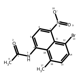 CC(=O)Nc1ccc([N+](=O)[O-])c2c(Br)ccc(C)c12